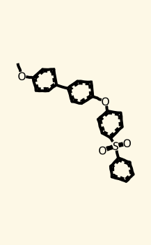 COc1ccc(-c2ccc(Oc3ccc(S(=O)(=O)c4ccccc4)cc3)cc2)cc1